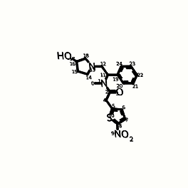 CN(C(=O)Cc1ccc([N+](=O)[O-])s1)C(CN1CCC(O)C1)c1ccccc1